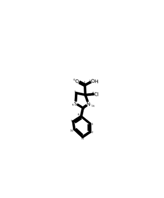 O=C(O)C1(Cl)CSC(c2ccccc2)[N]1